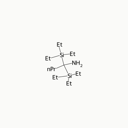 CCCC(N)([Si](CC)(CC)CC)[Si](CC)(CC)CC